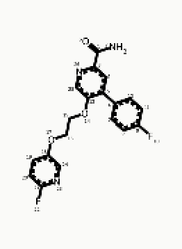 NC(=O)c1cc(-c2ccc(F)cc2)c(OCCOc2ccc(F)nc2)cn1